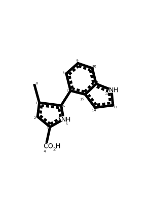 Cc1cc(C(=O)O)[nH]c1-c1cccc2[nH]ccc12